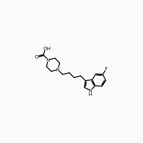 O=C(O)N1CCN(CCCCc2c[nH]c3ccc(F)cc23)CC1